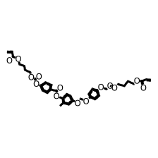 C=CC(=O)OCCCCOOCOc1ccc(OCOc2ccc(OC(=O)c3ccc(OC(=O)OCCCCOC(=O)C=C)cc3)c(C)c2)cc1